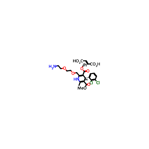 COC(=O)C1=C(C)NC(COCCOCCN)=C(C(=O)OC(C)C)[C@@H]1c1cccc(Cl)c1Cl.O=C(O)C=CC(=O)O